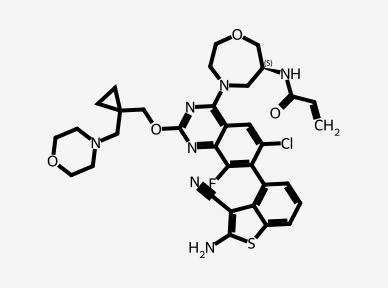 C=CC(=O)N[C@@H]1COCCN(c2nc(OCC3(CN4CCOCC4)CC3)nc3c(F)c(-c4cccc5sc(N)c(C#N)c45)c(Cl)cc23)C1